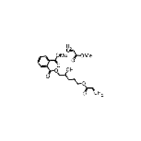 C=CC(=O)OC.C=CC(=O)OCCCC(O)COC(=O)c1ccccc1C(=O)OC